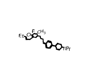 CCCC1CCC(c2ccc(CCCCc3cc4c(c(F)c3C)OC(CC)CC4)cc2)CC1